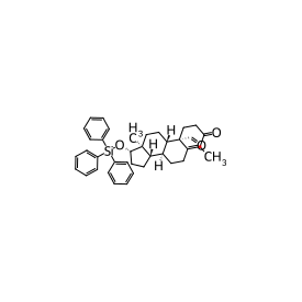 CC1=C2CC[C@H]3[C@@H]4CC[C@H](O[Si](c5ccccc5)(c5ccccc5)c5ccccc5)[C@@]4(C)CC[C@@H]3[C@@]2(C=O)CCC1=O